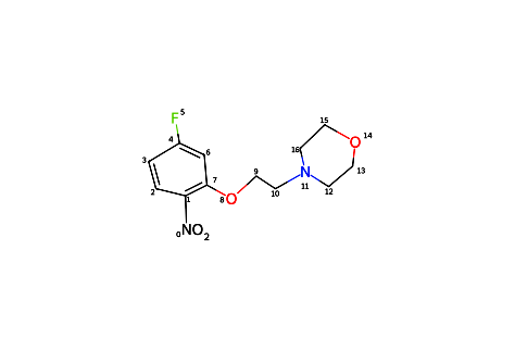 O=[N+]([O-])c1ccc(F)cc1OCCN1CCOCC1